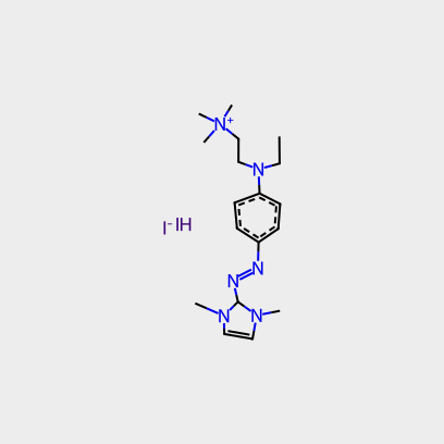 CCN(CC[N+](C)(C)C)c1ccc(N=NC2N(C)C=CN2C)cc1.I.[I-]